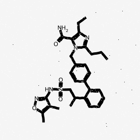 CCCc1nc(CC)c(C(N)=O)n1Cc1ccc(-c2ccccc2C(C)CS(=O)(=O)Nc2noc(C)c2C)cc1